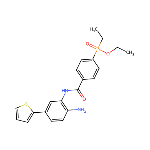 CCOP(=O)(CC)c1ccc(C(=O)Nc2cc(-c3cccs3)ccc2N)cc1